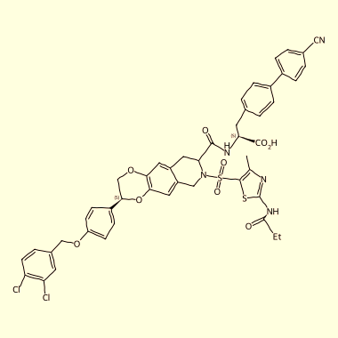 CCC(=O)Nc1nc(C)c(S(=O)(=O)N2Cc3cc4c(cc3CC2C(=O)N[C@@H](Cc2ccc(-c3ccc(C#N)cc3)cc2)C(=O)O)OC[C@H](c2ccc(OCc3ccc(Cl)c(Cl)c3)cc2)O4)s1